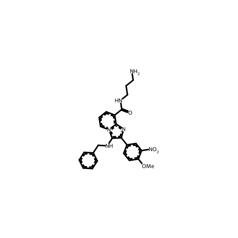 COc1ccc(-c2nc3c(C(=O)NCCCN)cccn3c2NCc2ccccc2)cc1[N+](=O)[O-]